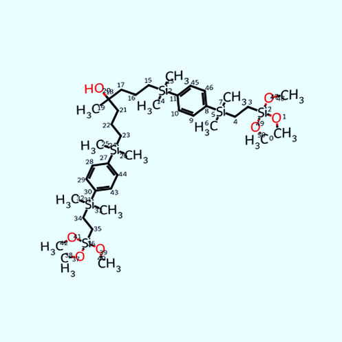 CO[Si](CC[Si](C)(C)c1ccc([Si](C)(C)CCCC(C)(O)CCC[Si](C)(C)c2ccc([Si](C)(C)CC[Si](OC)(OC)OC)cc2)cc1)(OC)OC